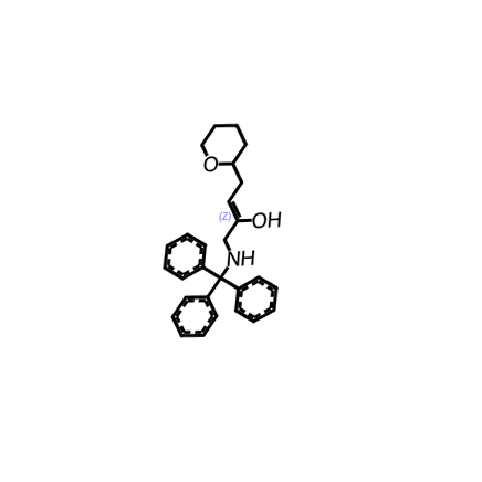 O/C(=C\CC1CCCCO1)CNC(c1ccccc1)(c1ccccc1)c1ccccc1